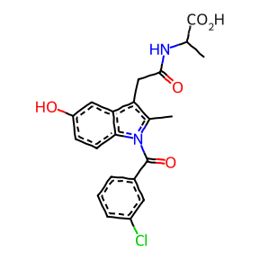 Cc1c(CC(=O)NC(C)C(=O)O)c2cc(O)ccc2n1C(=O)c1cccc(Cl)c1